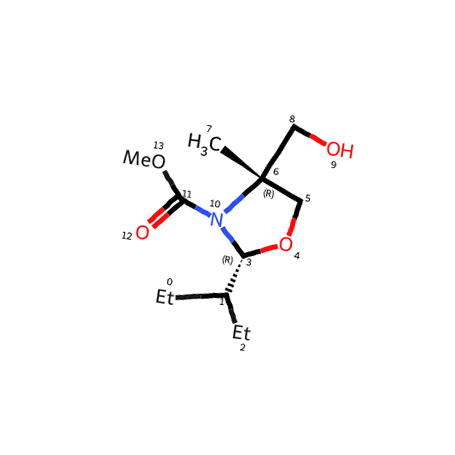 CCC(CC)[C@H]1OC[C@@](C)(CO)N1C(=O)OC